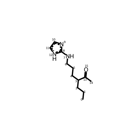 CCCC(CCCNc1ncc[nH]1)C(C)=O